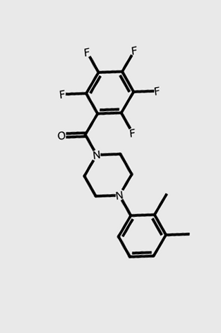 Cc1cccc(N2CCN(C(=O)c3c(F)c(F)c(F)c(F)c3F)CC2)c1C